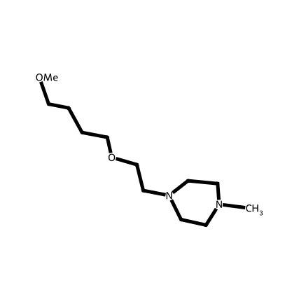 COCCCCOCCN1CCN(C)CC1